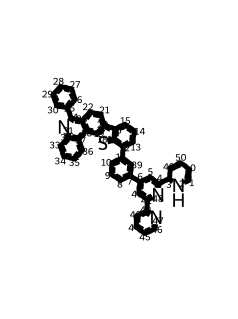 C1=CNC(c2cc(-c3cccc(-c4cccc5c4sc4c5ccc5c(-c6ccccc6)nc6ccccc6c54)c3)cc(-c3ccccn3)n2)C=C1